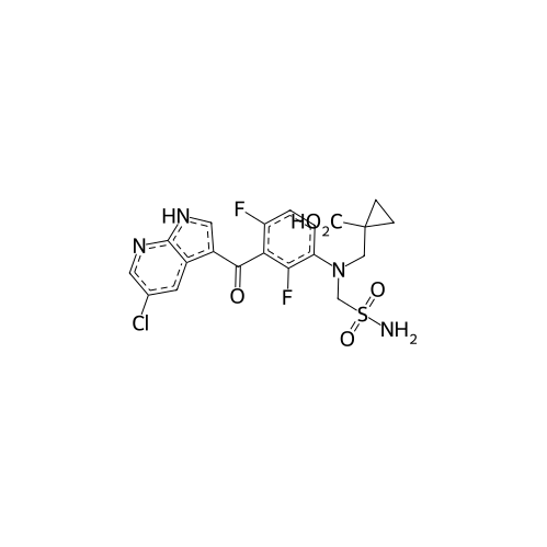 NS(=O)(=O)CN(CC1(C(=O)O)CC1)c1ccc(F)c(C(=O)c2c[nH]c3ncc(Cl)cc23)c1F